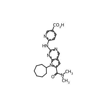 CN(C)C(=O)c1cc2cnc(Nc3ccc(C(=O)O)cn3)nc2n1C1CCCCCC1